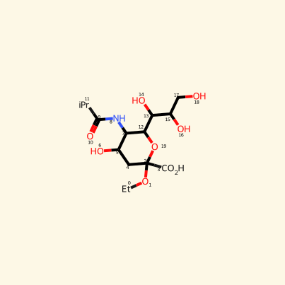 CCOC1(C(=O)O)CC(O)C(NC(=O)C(C)C)C(C(O)C(O)CO)O1